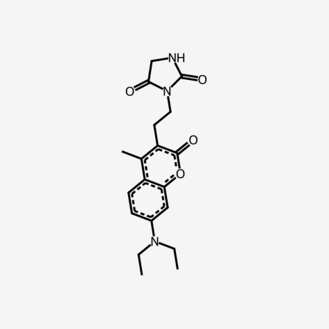 CCN(CC)c1ccc2c(C)c(CCN3C(=O)CNC3=O)c(=O)oc2c1